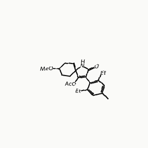 CCc1cc(C)cc(CC)c1C1=C(OC(C)=O)C2(CCC(OC)CC2)NC1=O